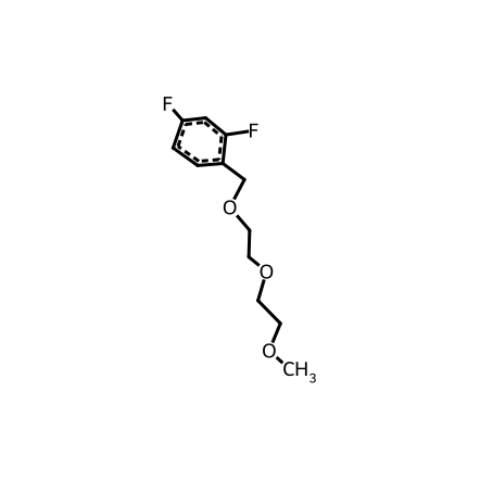 COCCOCCOCc1ccc(F)cc1F